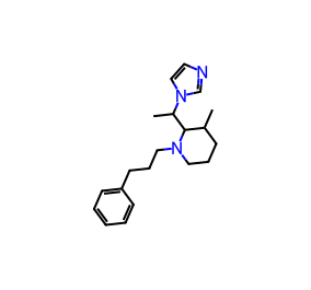 CC1CCCN(CCCc2ccccc2)C1C(C)n1ccnc1